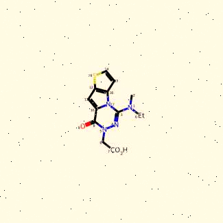 CCN(C)c1nn(CC(=O)O)c(=O)c2cc3sccc3n12